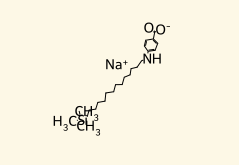 C[Si](C)(C)CCCCCCCCCCCCCCNc1ccc(C(=O)[O-])cc1.[Na+]